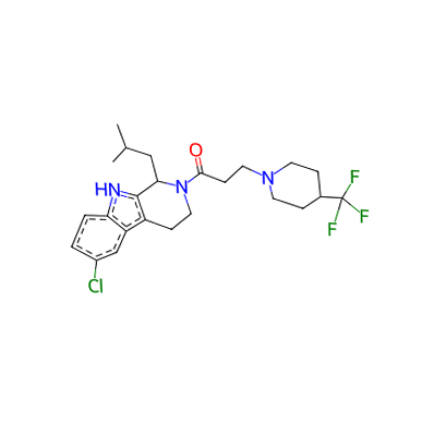 CC(C)CC1c2[nH]c3ccc(Cl)cc3c2CCN1C(=O)CCN1CCC(C(F)(F)F)CC1